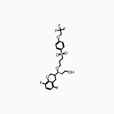 O=S(=O)(CCCO[C@@H](CCO)C1COc2c(F)ccc(F)c2C1)c1ccc(OCC(F)(F)F)cc1